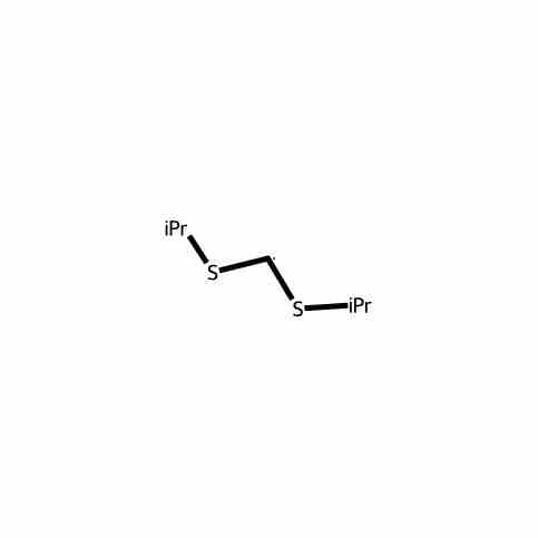 CC(C)S[CH]SC(C)C